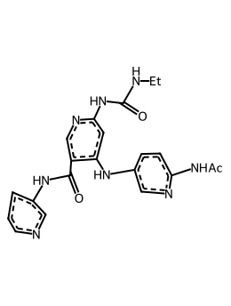 CCNC(=O)Nc1cc(Nc2ccc(NC(C)=O)nc2)c(C(=O)Nc2cccnc2)cn1